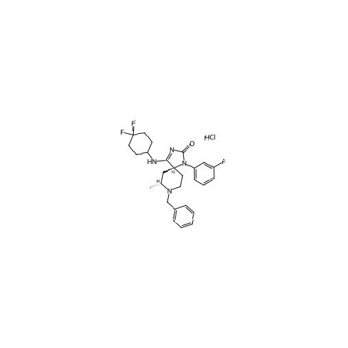 C[C@@H]1C[C@@]2(CCN1Cc1ccccc1)C(NC1CCC(F)(F)CC1)=NC(=O)N2c1cccc(F)c1.Cl